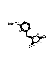 COc1cccc(/C=C2\SC(=O)NC2=O)c1